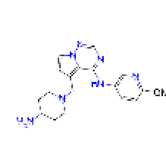 COc1ccc(Nc2ncnn3ccc(CN4CCC(N)CC4)c23)cn1